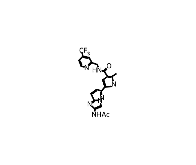 CC(=O)Nc1cn2nc(-c3cnc(C)c(C(=O)NCc4cc(C(F)(F)F)ccn4)c3)ccc2n1